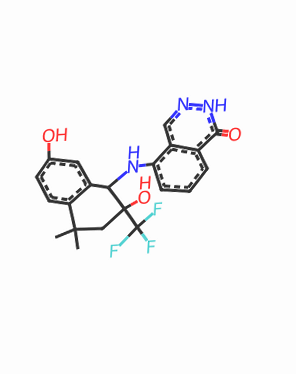 CC1(C)CC(O)(C(F)(F)F)C(Nc2cccc3c(=O)[nH]ncc23)c2cc(O)ccc21